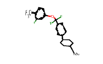 CCCCC1CCC(c2ccc(C(F)(F)Oc3ccc(C(F)(F)F)c(F)c3)cc2)CC1